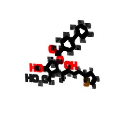 CC(=C(O)CCc1cccs1)[C@@H]1[C@@H](CC(=O)O)[C@H](O)C[C@H]1OC(=O)c1ccc(-c2ccccc2)cc1